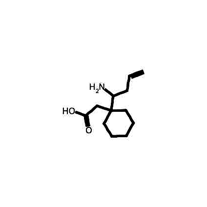 C=CCC(N)C1(CC(=O)O)CCCCC1